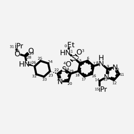 CCNS(=O)(=O)c1cc(Nc2nccn2CC(C)C)ccc1-c1cnc([C@H]2CC[C@H](NC(=O)OC(C)C)CC2)s1